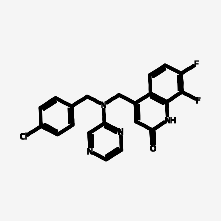 O=c1cc(CN(Cc2ccc(Cl)cc2)c2cnccn2)c2ccc(F)c(F)c2[nH]1